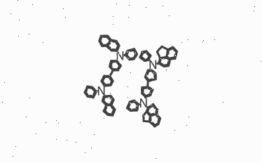 c1ccc(N(c2ccc(-c3ccc(N(c4ccccc4)c4ccc5cccc6c5c4CC6)cc3)cc2)c2ccc3cccc4c3c2CC4)cc1.c1ccc(N(c2ccc(-c3ccc(N(c4ccccc4)c4ccc5ccccc5c4)cc3)cc2)c2ccc3ccccc3c2)cc1